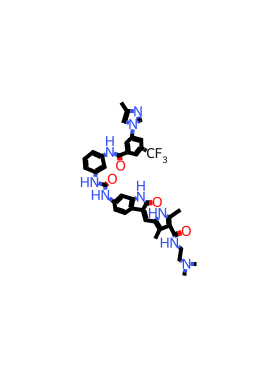 Cc1cn(-c2cc(C(=O)Nc3cccc(NC(=O)Nc4ccc5c(c4)NC(=O)/C5=C\c4[nH]c(C)c(C(=O)NCCN(C)C)c4C)c3)cc(C(F)(F)F)c2)cn1